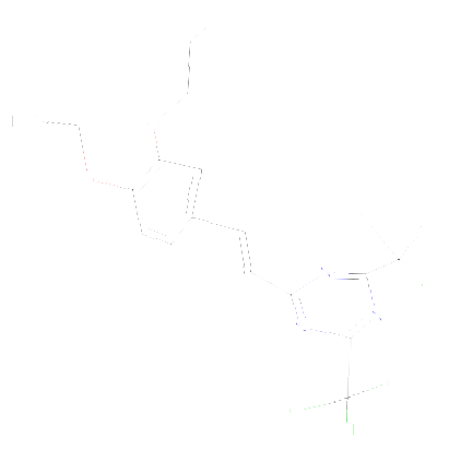 CCCOc1cc(C=Cc2nc(C(Cl)(Cl)Cl)nc(C(Cl)(Cl)Cl)n2)ccc1OCC